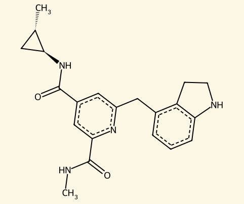 CNC(=O)c1cc(C(=O)N[C@H]2C[C@@H]2C)cc(Cc2cccc3c2CCN3)n1